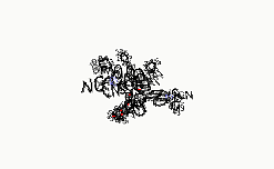 N#CC(C#N)=C1/C(=C/c2cc3c(s2)-c2cc4c(cc2C(C(=O)OCc2ccccc2)(C(=O)OCc2ccccc2)O3)-c2sc(/C=C3\C(=O)c5ccccc5C3=C(C#N)C#N)cc2OC4(C(=O)OCc2ccccc2)C(=O)OCc2ccccc2)C(=O)c2ccccc21